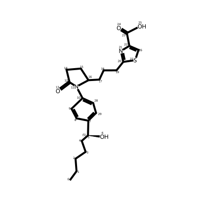 CCCCC[C@H](O)c1ccc(N2C(=O)CCC2CCCc2nc(C(=O)O)cs2)cc1